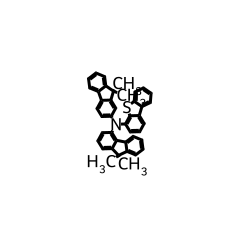 CC1(C)c2ccccc2-c2ccc(N(c3cccc4c3-c3ccccc3C4(C)C)c3cccc4c3sc3ccccc34)cc21